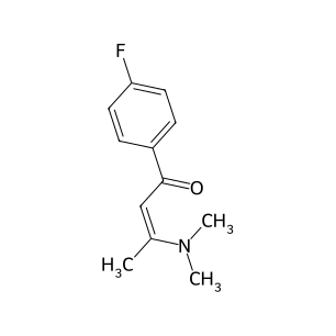 CC(=CC(=O)c1ccc(F)cc1)N(C)C